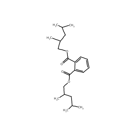 CC(C)CC(C)COC(=O)c1ccccc1C(=O)OCC(C)CC(C)C